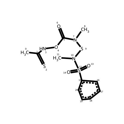 CC(=S)NOC(=O)N(C)SN(C)S(=O)(=O)c1ccccc1